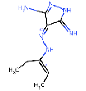 C/C=C(\CC)N/N=C1\C(=N)NN=C1N